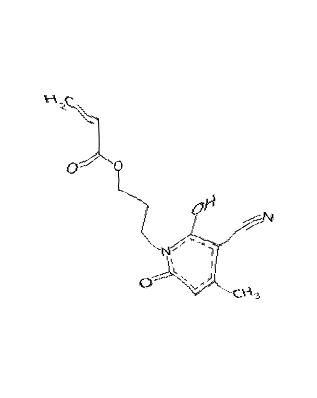 C=CC(=O)OCCCn1c(O)c(C#N)c(C)cc1=O